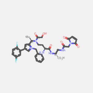 CC(C)(C)[C@H](c1cc(-c2cc(F)ccc2F)cn1Cc1ccccc1)N(CC[C@H](N)C(=O)N[C@H](CNC(=O)CN1C(=O)C=CC1=O)C(=O)O)C(=O)CO